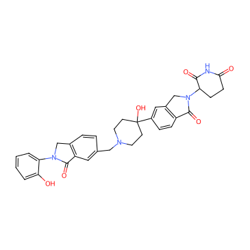 O=C1CCC(N2Cc3cc(C4(O)CCN(Cc5ccc6c(c5)C(=O)N(c5ccccc5O)C6)CC4)ccc3C2=O)C(=O)N1